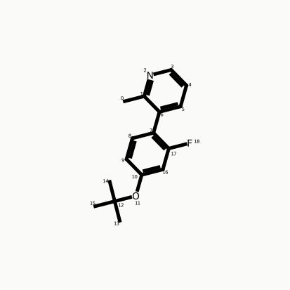 Cc1ncccc1-c1ccc(OC(C)(C)C)cc1F